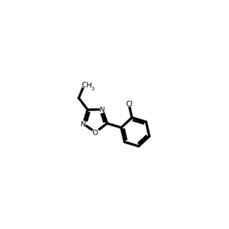 CCc1noc(-c2ccccc2Cl)n1